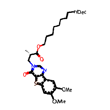 CCCCCCCCCCCCCCCCCCOC(=O)[C@@H](C)Cn1cnc2c(sc3cc(OC)c(OC)cc32)c1=O